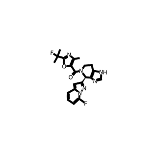 Cc1nc(C(C)(C)F)oc1C(=O)N1CCc2[nH]cnc2[C@H]1c1cc2cccc(F)n2n1